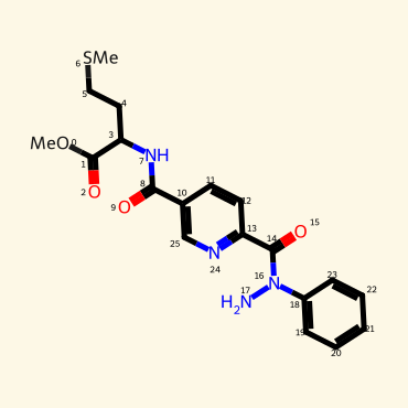 COC(=O)C(CCSC)NC(=O)c1ccc(C(=O)N(N)c2ccccc2)nc1